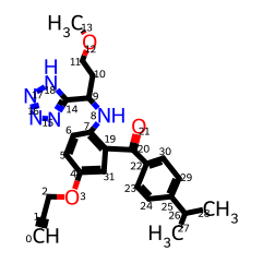 C#CCOc1ccc(NC(CCOC)c2nnn[nH]2)c(C(=O)c2ccc(C(C)C)cc2)c1